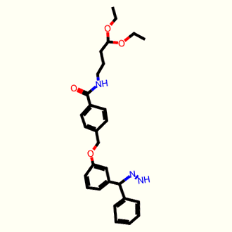 CCOC(CCCNC(=O)c1ccc(COc2cccc(C(N=N)c3ccccc3)c2)cc1)OCC